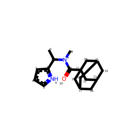 CC(c1ccc[nH]1)N(C)C(=O)C12CC3CC(CC(C3)C1)C2